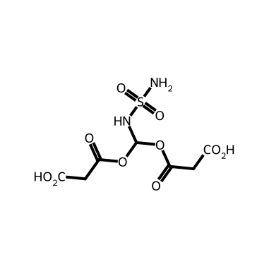 NS(=O)(=O)NC(OC(=O)CC(=O)O)OC(=O)CC(=O)O